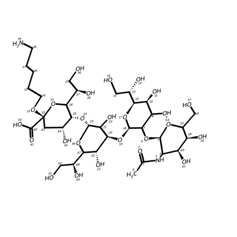 CC(=O)NC1[C@@H](OC2C(O)[C@H](O)[C@H]([C@@H](O)CO)O[C@@H]2O[C@@H]2C(O)[C@@H](O[C@H]3C([C@H](O)CO)O[C@@](OCCCCCN)(C(=O)O)C[C@H]3O)OC([C@@H](O)CO)[C@H]2O)OC(CO)[C@@H](O)[C@H]1O